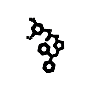 Cc1cc(NC(=O)NC2CCN(CC(c3ccccc3)c3ccccc3)C2)cc(C)n1